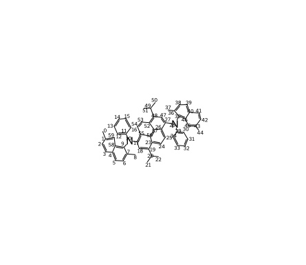 Cc1ccc2ccc(C)c(N(c3ccccc3)c3cc(C(C)C)c4ccc5c(N(c6ccccc6)c6c(C)ccc7ccc(C)cc67)cc(C(C)C)c6ccc3c4c65)c2c1